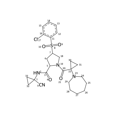 N#CC1(NC(=O)C2CC(S(=O)(=O)c3ccccc3Cl)CN2C(=O)C2(N3CCCCCC3)CC2)CC1